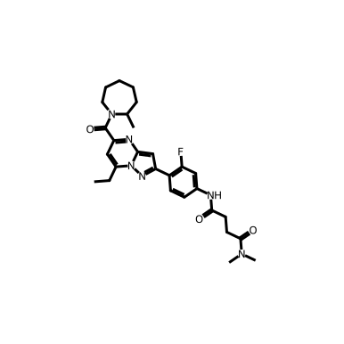 CCc1cc(C(=O)N2CCCCCC2C)nc2cc(-c3ccc(NC(=O)CCC(=O)N(C)C)cc3F)nn12